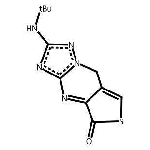 CC(C)(C)Nc1nc2n(n1)CC1=CSC(=O)C1=N2